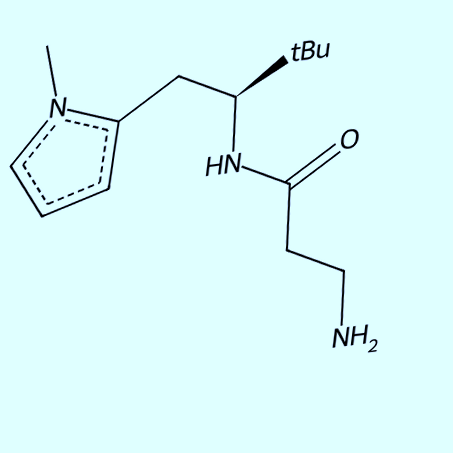 Cn1cccc1C[C@H](NC(=O)CCN)C(C)(C)C